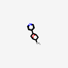 CC1CC2OC1CC2c1ccncc1